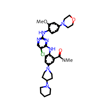 CNC(=O)c1cc(N2CCC(N3CCCCC3)CC2)ccc1Nc1nc(Nc2ccc(N3CCOCC3)cc2OC)ncc1Cl